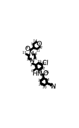 Cc1c(CN2CCN(C(=O)C3CCOCC3)C(C)C2)cc(Cl)cc1NC(=O)c1cccc(C#N)c1